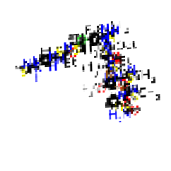 C/N=C1/SC(=N/C(F)(F)F)/C(=N/C(F)(F)F)N1c1ccc(Cl)cc1.CCCCCCCCn1sccc1=O.CCNc1nc(CC)c(C(=O)NC(C#N)c2cccs2)s1.CCOc1nc(C(Cl)(Cl)Cl)ns1.Cc1nc(C(F)(F)F)c(C(=O)Nc2c(Br)cc(OC(F)(F)F)cc2Br)s1.Cc1nc(C)c(C(=O)Nc2ccccc2)s1.NC(=O)S.c1ccc2[nH]c(-c3cscn3)nc2c1